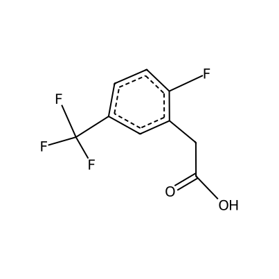 O=C(O)Cc1cc(C(F)(F)F)ccc1F